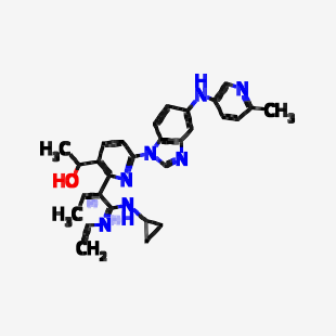 C=C/N=C(NC1CC1)\C(=C/C)c1nc(-n2cnc3cc(Nc4ccc(C)nc4)ccc32)ccc1C(C)O